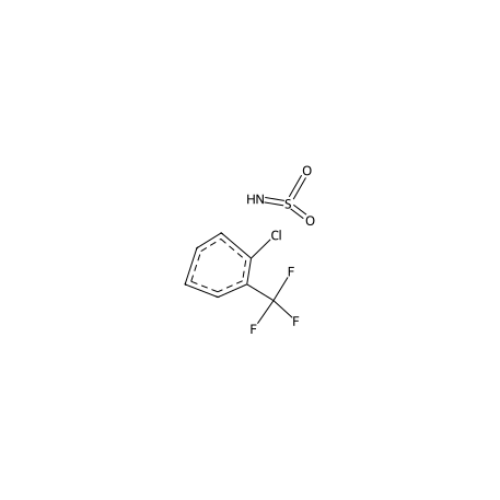 FC(F)(F)c1ccccc1Cl.N=S(=O)=O